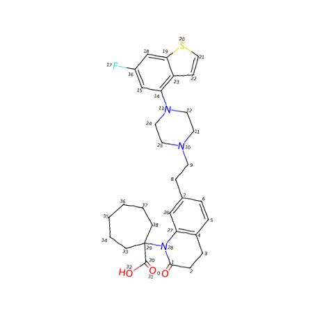 O=C1CCc2ccc(CCN3CCN(c4cc(F)cc5sccc45)CC3)cc2N1C1(C(=O)O)CCCCCC1